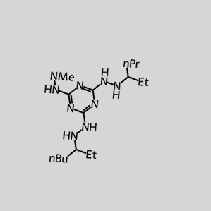 CCCCC(CC)NNc1nc(NNC)nc(NNC(CC)CCC)n1